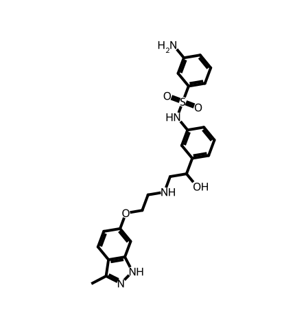 Cc1n[nH]c2cc(OCCNCC(O)c3cccc(NS(=O)(=O)c4cccc(N)c4)c3)ccc12